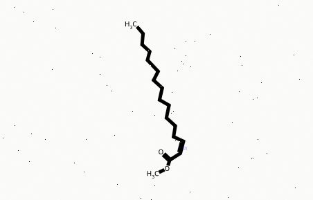 CCCCCCCCCCCCC/C=C\C(=O)OC